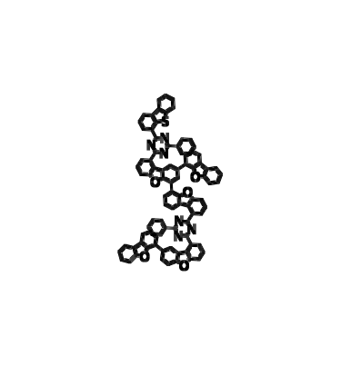 c1ccc(-c2nc(-c3cccc4c3sc3ccccc34)nc(-c3cccc4oc5c(-c6cccc7c6oc6cccc(-c8nc(-c9ccccc9)nc(-c9cccc%10oc%11ccc(-c%12cccc%13c%12oc%12ccccc%12%13)cc%11c9%10)n8)c67)cc(-c6cccc7c6oc6ccccc67)cc5c34)n2)cc1